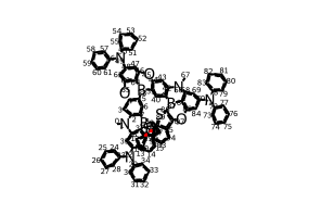 CN1c2cc3c(cc2B2c4sc5ccccc5c4Oc4cc(N(c5ccccc5)c5ccccc5)cc1c42)B1c2cc4c(cc2Oc2cc(N(c5ccccc5)c5ccccc5)cc(c21)O3)N(C)c1cc(N(c2ccccc2)c2ccccc2)cc2c1B4c1sc3ccccc3c1O2